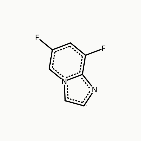 Fc1cc(F)c2n[c]cn2c1